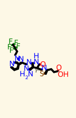 C[C@@]1(c2nc(CCC(=O)O)cs2)C(=O)Nc2nc(-c3nn(CCC(F)(F)C(F)(F)F)c4ncccc34)nc(N)c21